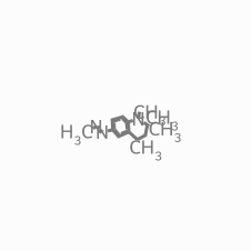 CN=Nc1ccc2c(c1)C(C)CC(C)(C)N2C